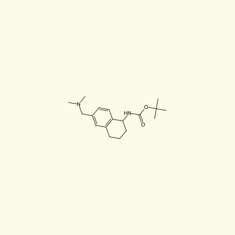 CN(C)Cc1ccc2c(c1)CCCC2NC(=O)OC(C)(C)C